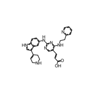 O=C(O)C=Cc1cnc(Nc2ccc3[nH]cc(C4=CCNCC4)c3c2)nc1NCCc1ccccn1